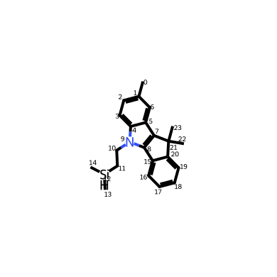 Cc1ccc2c(c1)c1c(n2CC[SiH](C)C)-c2ccccc2C1(C)C